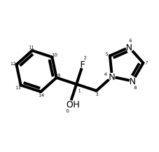 OC(F)(Cn1cncn1)c1ccccc1